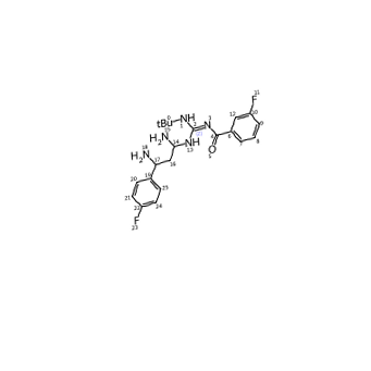 CC(C)(C)N/C(=N/C(=O)c1cccc(F)c1)NC(N)CC(N)c1ccc(F)cc1